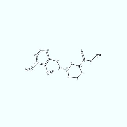 CC(C)(C)OC(=O)N1CCC[C@H](OCc2cccc(C(=O)O)c2C(=O)O)C1